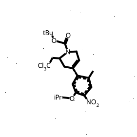 Cc1cc([N+](=O)[O-])c(OC(C)C)cc1C1=CCN(C(=O)OC(C)(C)C)C(CC(Cl)(Cl)Cl)C1